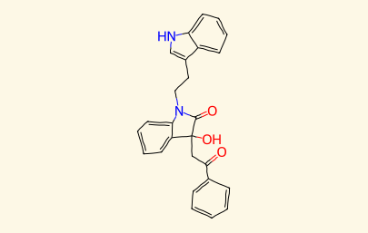 O=C(CC1(O)C(=O)N(CCc2c[nH]c3ccccc23)c2ccccc21)c1ccccc1